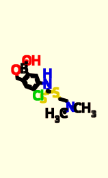 CN(C)CCSC(=S)Nc1cc2c(cc1Cl)COB2O